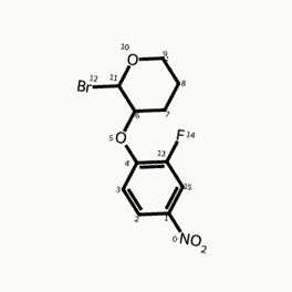 O=[N+]([O-])c1ccc(OC2CC[C]OC2Br)c(F)c1